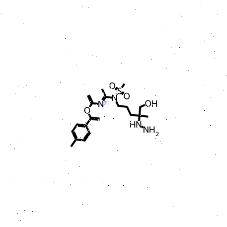 C=C(/N=C(\C)N(CCCC(C)(CO)NN)S(C)(=O)=O)OC(=C)c1ccc(C)cc1